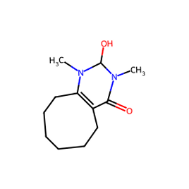 CN1C(=O)C2=C(CCCCCC2)N(C)C1O